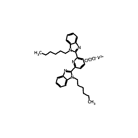 CCCCCCn1c(-c2cccc(-c3nc4ccccc4n3CCCCCC)n2)nc2ccccc21.[Cl-].[Cl-].[Cl-].[V+3]